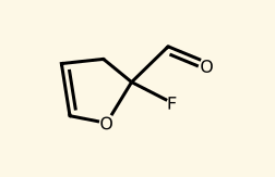 O=CC1(F)CC=CO1